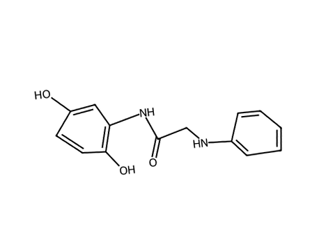 O=C(CNc1ccccc1)Nc1cc(O)ccc1O